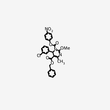 COC1=NC(C)=C(C(=O)OCc2ccccc2)C(c2cccc(Cl)c2)N1C(=O)Oc1ccc([N+](=O)[O-])cc1